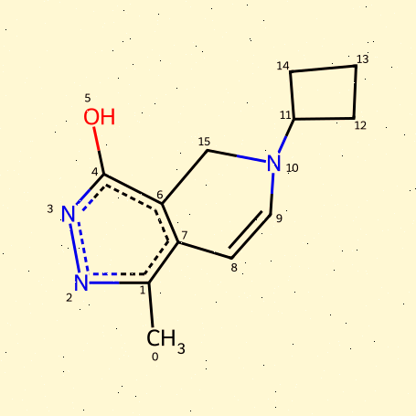 Cc1nnc(O)c2c1C=CN(C1CCC1)C2